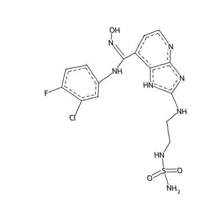 NS(=O)(=O)NCCNc1nc2nccc(/C(=N\O)Nc3ccc(F)c(Cl)c3)c2[nH]1